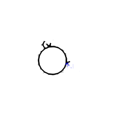 CCC1CCCCCCCCCCCC(C)(N)CCCCCC1(C)C